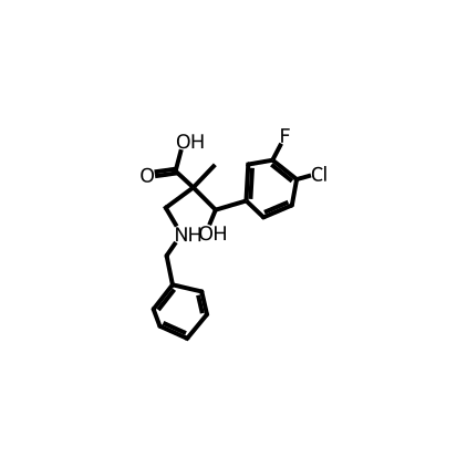 CC(CNCc1ccccc1)(C(=O)O)C(O)c1ccc(Cl)c(F)c1